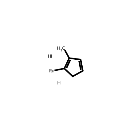 CC1=[C]([Ru])CC=C1.I.I